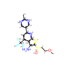 COCC[S+]([O-])c1sc2nc(-c3cnc(C)nc3)cc(C(F)(F)F)c2c1N